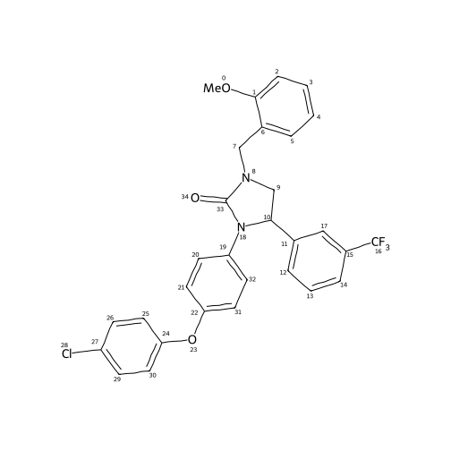 COc1ccccc1CN1CC(c2cccc(C(F)(F)F)c2)N(c2ccc(Oc3ccc(Cl)cc3)cc2)C1=O